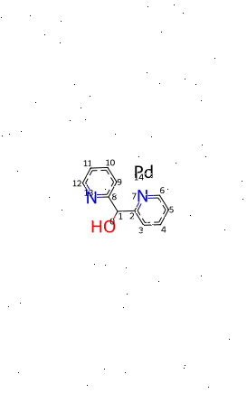 OC(c1ccccn1)c1ccccn1.[Pd]